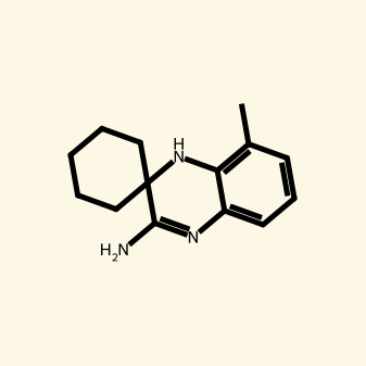 Cc1cccc2c1NC1(CCCCC1)C(N)=N2